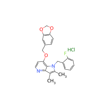 Cc1c(C)n(Cc2ccccc2F)c2c(OCc3ccc4c(c3)OCO4)ccnc12.Cl